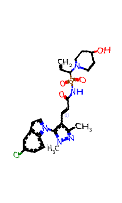 C=CC(N1CCC(O)CC1)S(=O)(=O)NC(=O)/C=C/c1c(C)nn(C)c1-n1ccc2cc(Cl)ccc21